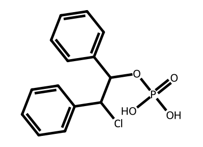 O=P(O)(O)OC(c1ccccc1)C(Cl)c1ccccc1